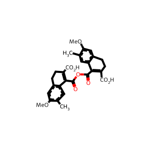 COc1cc2c(cc1C)C(C(=O)OC(=O)C1=C(C(=O)O)CCc3cc(OC)c(C)cc31)=C(C(=O)O)CC2